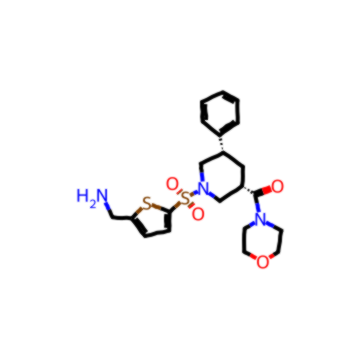 NCc1ccc(S(=O)(=O)N2C[C@@H](C(=O)N3CCOCC3)C[C@@H](c3ccccc3)C2)s1